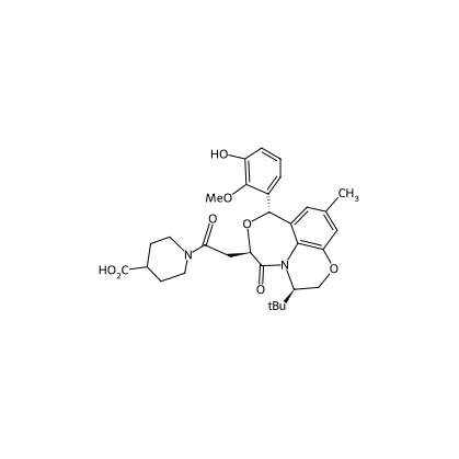 COc1c(O)cccc1[C@H]1O[C@H](CC(=O)N2CCC(C(=O)O)CC2)C(=O)N2c3c(cc(C)cc31)OC[C@H]2C(C)(C)C